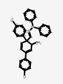 NC1C=C(c2ccc(Cl)cc2)C=CC1(C=NN(c1ccccc1)c1ccccc1)c1ccc(Cl)cc1